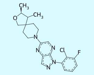 CC1[C@H](C)OCC12CCN(c1cnc3c(cnn3-c3cccc(F)c3Cl)n1)CC2